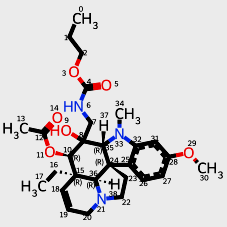 CCCOC(=O)NCC1(O)[C@H](OC(C)=O)[C@]2(CC)C=CCN3CC[C@@]4(c5ccc(OC)cc5N(C)[C@@H]14)[C@@H]32